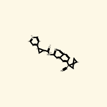 N#C[C@]1(c2ccc3cnc(NC(=O)C4CC4c4ccncc4)cc3c2)CC12CC2